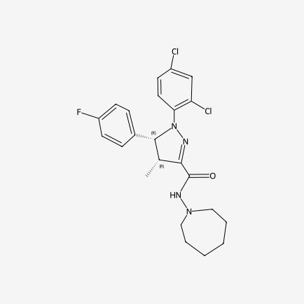 C[C@H]1C(C(=O)NN2CCCCCC2)=NN(c2ccc(Cl)cc2Cl)[C@H]1c1ccc(F)cc1